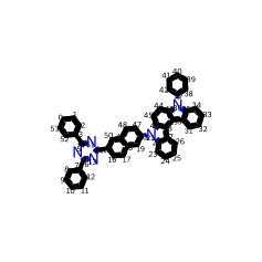 c1ccc(-c2nc(-c3ccccc3)nc(-c3ccc4cc(-n5c6ccccc6c6c7c8ccccc8n(-c8ccccc8)c7ccc65)ccc4c3)n2)cc1